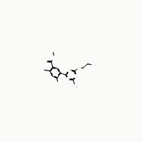 COC(=O)c1cc(-c2nc(N)nc(SCCO)n2)c(C)cc1C